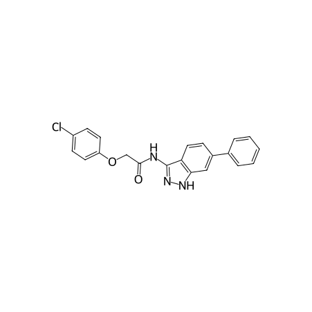 O=C(COc1ccc(Cl)cc1)Nc1n[nH]c2cc(-c3ccccc3)ccc12